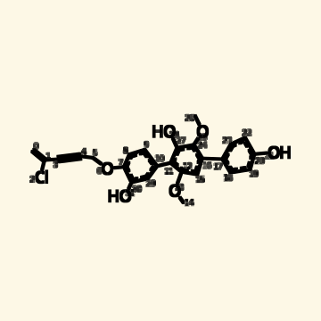 C=C(Cl)C#CCOc1ccc(-c2c(OC)cc(-c3ccc(O)cc3)c(OC)c2O)cc1O